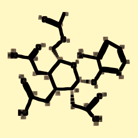 CC(=O)OC[C@@H]1O[C@H](Oc2ncccc2Br)[C@H](CC(=O)O)[C@@H](CC(=O)O)[C@H]1CC(=O)O